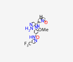 COc1cc(C(=O)Nc2cc(C(F)(F)F)ccn2)ccc1-n1nc([C@@H]2CC[C@H]3CCC(=O)N3C2)c2ccnc(N)c21